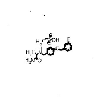 CC(NCc1ccc(OCc2cccc(F)c2)cc1)C(N)=O.CCS(=O)(=O)O